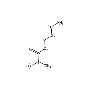 CC(C)C(=O)OCOON